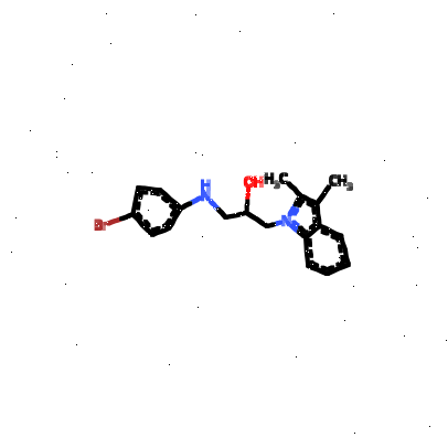 Cc1c(C)n(CC(O)CNc2ccc(Br)cc2)c2ccccc12